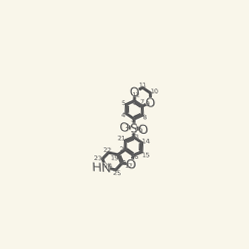 O=S(=O)(c1ccc2c(c1)OCCO2)c1ccc2oc3c(c2c1)CCNC3